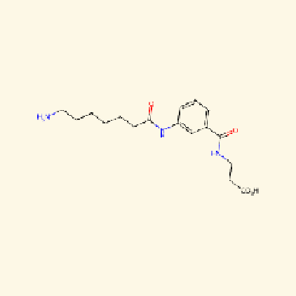 NCCCCCCC(=O)Nc1cccc(C(=O)NCCC(=O)O)c1